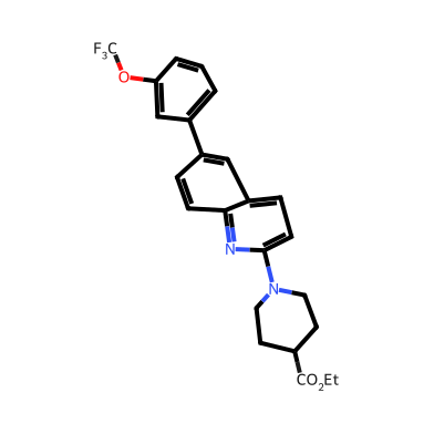 CCOC(=O)C1CCN(c2ccc3cc(-c4cccc(OC(F)(F)F)c4)ccc3n2)CC1